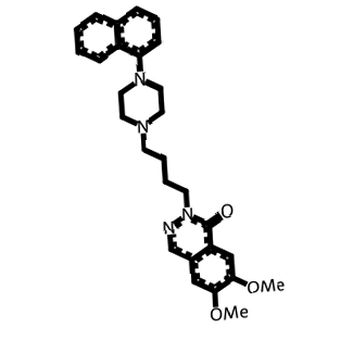 COc1cc2cnn(CCCCN3CCN(c4cccc5ccccc45)CC3)c(=O)c2cc1OC